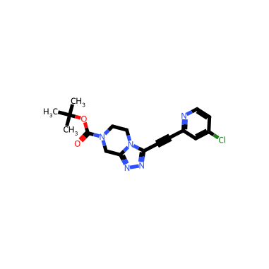 CC(C)(C)OC(=O)N1CCn2c(C#Cc3cc(Cl)ccn3)nnc2C1